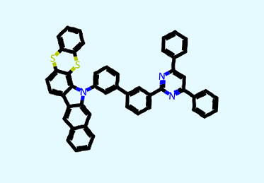 c1ccc(-c2cc(-c3ccccc3)nc(-c3cccc(-c4cccc(-n5c6cc7ccccc7cc6c6ccc7c(c65)Sc5ccccc5S7)c4)c3)n2)cc1